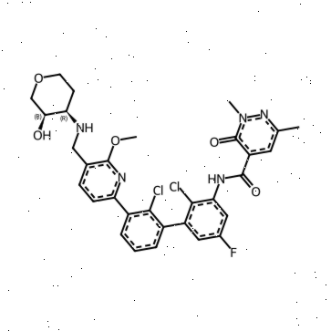 COc1nc(-c2cccc(-c3cc(F)cc(NC(=O)c4cc(C)nn(C)c4=O)c3Cl)c2Cl)ccc1CN[C@@H]1CCOC[C@@H]1O